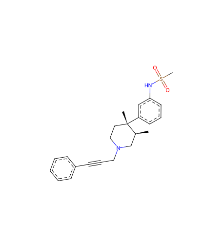 C[C@H]1CN(CC#Cc2ccccc2)CC[C@]1(C)c1cccc(NS(C)(=O)=O)c1